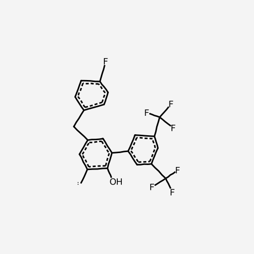 [CH]c1cc(Cc2ccc(F)cc2)cc(-c2cc(C(F)(F)F)cc(C(F)(F)F)c2)c1O